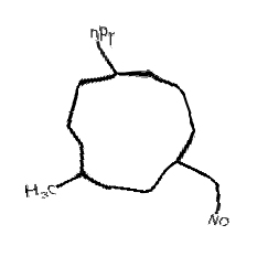 CCCC1CCCC(CN=O)CCC(C)CC1